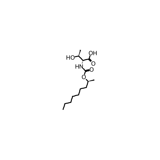 CCCCCCC[C@H](C)OC(=O)N[C@@H](C(=O)O)[C@H](C)O